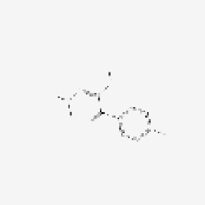 CCOC(=O)C(C)/N=C(/OCC)C(=O)c1ccc(Cl)cc1